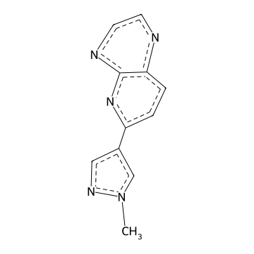 Cn1cc(-c2ccc3nccnc3n2)cn1